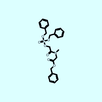 CN(CC(=O)OCc1ccccc1)C(=O)COP(=O)(OCc1ccccc1)OCc1ccccc1